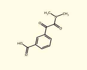 CN(C)C(=O)C(=O)c1cccc(C(=O)O)c1